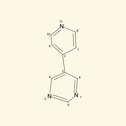 [c]1cc(-c2cncnc2)ccn1